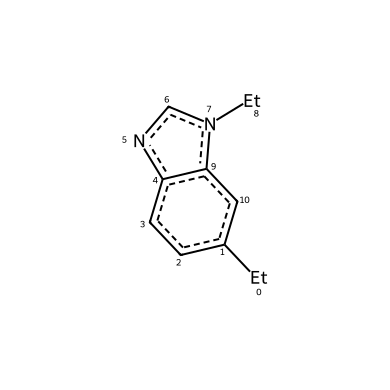 CCc1ccc2ncn(CC)c2c1